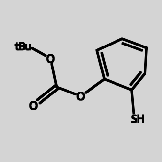 CC(C)(C)OC(=O)Oc1ccccc1S